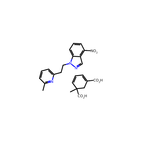 CC1(C(=O)O)C=CC=C(C(=O)O)C1.Cc1cccc(CCn2ncc3c([N+](=O)[O-])cccc32)n1